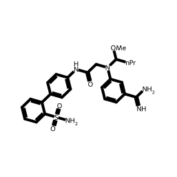 CCCC(OC)N(CC(=O)Nc1ccc(-c2ccccc2S(N)(=O)=O)cc1)c1cccc(C(=N)N)c1